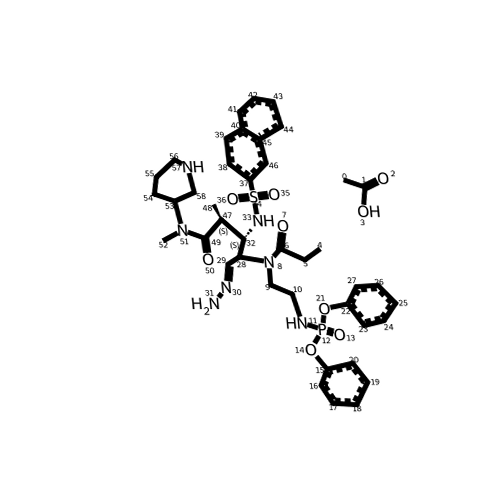 CC(=O)O.CCC(=O)N(CCNP(=O)(Oc1ccccc1)Oc1ccccc1)C(C=NN)[C@@H](NS(=O)(=O)c1ccc2ccccc2c1)[C@H](C)C(=O)N(C)C1CCCNC1